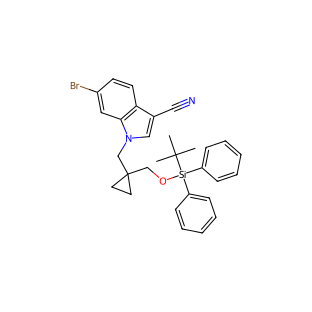 CC(C)(C)[Si](OCC1(Cn2cc(C#N)c3ccc(Br)cc32)CC1)(c1ccccc1)c1ccccc1